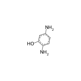 Nc1ccc(N)c(O)c1